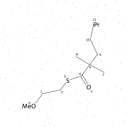 COCCSC(=O)C(C)(C)CCC(C)C